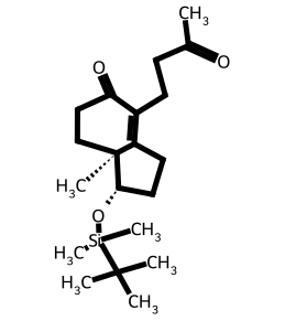 CC(=O)CCC1=C2CC[C@H](O[Si](C)(C)C(C)(C)C)[C@@]2(C)CCC1=O